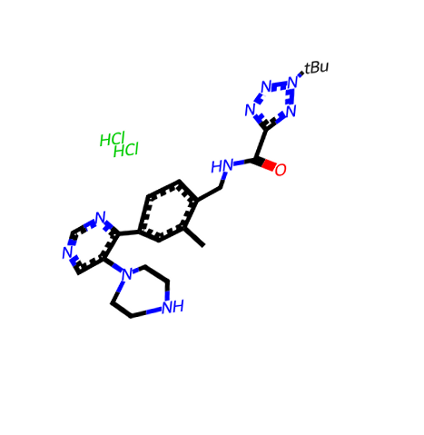 Cc1cc(-c2ncncc2N2CCNCC2)ccc1CNC(=O)c1nnn(C(C)(C)C)n1.Cl.Cl